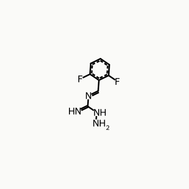 N=C(N=Cc1c(F)cccc1F)NN